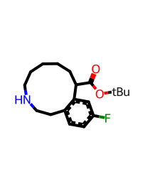 CC(C)(C)OC(=O)C1CCCCCNCCc2ccc(F)cc21